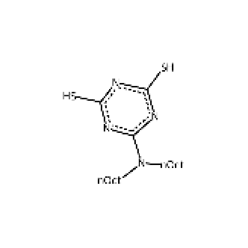 CCCCCCCCN(CCCCCCCC)c1nc(S)nc(S)n1